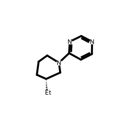 CC[C@@H]1CCCN(c2ccncn2)C1